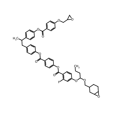 CCCC(OCC1CCC2OC2C1)Oc1ccc(C(=O)Oc2ccc(C(=O)Oc3ccc(CC(C)c4ccc(OC(=O)c5ccc(OCC6CO6)cc5)cc4)cc3)cc2)c(F)c1